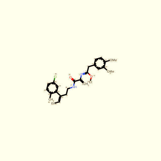 C=C(/N=C(/Cc1ccc(OC)c(OC)c1)OCC)C(=O)NCC/C(=C/CC)c1cc(Cl)ccc1C